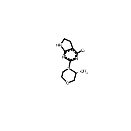 C[C@@H]1COCCN1c1nc(Cl)c2c(n1)NCC2